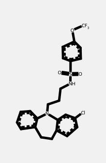 O=S(=O)(NCCCN1c2ccccc2CCc2ccc(Cl)cc21)c1ccc(OC(F)(F)F)cc1